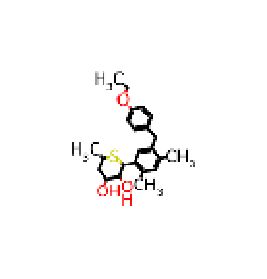 CCOc1ccc(Cc2cc(C3SC(C)CC(O)C3O)c(C)cc2C)cc1